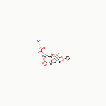 CO[C@H]1C[C@H]2C=CC3C4[C@H](O)[C@@H](C)[C@@H](OC(=O)c5ccc[nH]5)[C@@H]3O[C@]42/C(C)=C/[C@@H](C)[C@@H]([C@@H](C)OC(=O)C(=O)OCCN(C)C)OC1=O